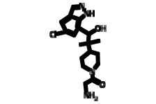 CC(C)(C1CCN(C(=O)CN)CC1)C(O)c1cc(Cl)cc2cn[nH]c12